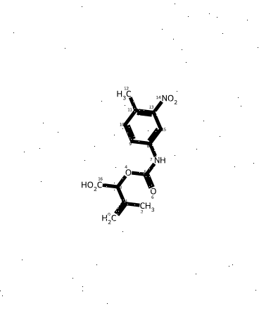 C=C(C)C(OC(=O)Nc1ccc(C)c([N+](=O)[O-])c1)C(=O)O